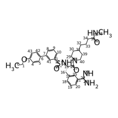 CCOc1ccc(-c2cccc([S+]([O-])N[C@@H](Cc3cccc(C(=N)N)c3)C(=O)N3CCC(CCCC(=O)NC)CC3)c2)cc1